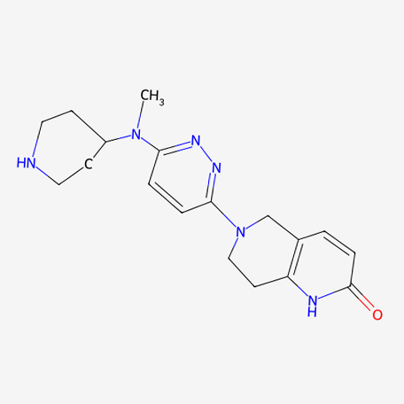 CN(c1ccc(N2CCc3[nH]c(=O)ccc3C2)nn1)C1CCNCC1